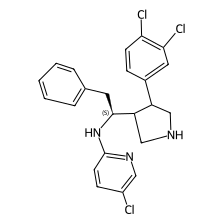 Clc1ccc(N[C@@H](Cc2ccccc2)C2CNCC2c2ccc(Cl)c(Cl)c2)nc1